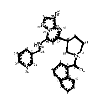 O=C(c1cccc2ccccc12)N1CCCC(c2cc(NCc3cccnc3)n3ncc(Br)c3n2)C1